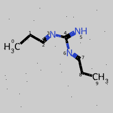 CCC=NC(=N)N=CCC